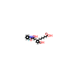 O=C(O)CCCCCC[C@@H]1[C@@H](CCC(O)C(=O)Nc2ccccc2F)CC[C@@H]1O